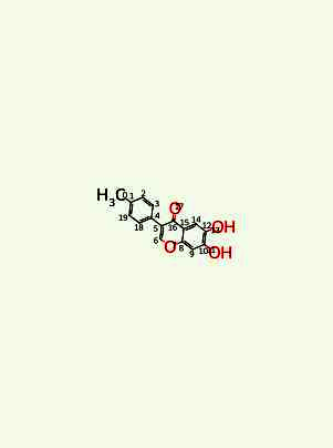 Cc1ccc(-c2coc3cc(O)c(O)cc3c2=O)cc1